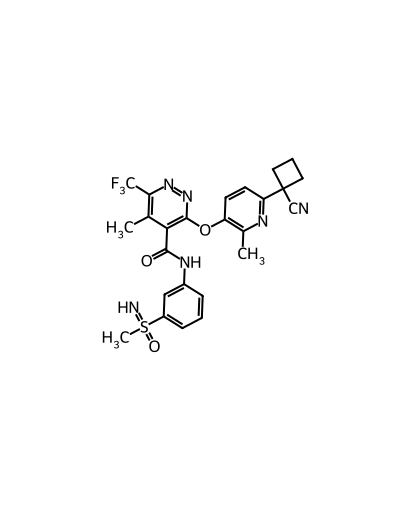 Cc1nc(C2(C#N)CCC2)ccc1Oc1nnc(C(F)(F)F)c(C)c1C(=O)Nc1cccc(S(C)(=N)=O)c1